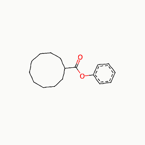 O=C(Oc1ccccc1)C1CCCCCCCCC1